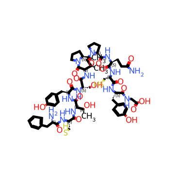 CC[C@H](C)[C@H](NC(=O)[C@H](CO)NC(=O)[C@H](Cc1ccc(O)cc1)NC(=O)[C@@H](NC(=O)[C@H](CS)NC(=O)[C@@H](N)Cc1ccccc1)[C@@H](C)O)C(=O)N1CCC[C@H]1C(=O)N1CCC[C@H]1C(=O)N[C@@H](CCC(N)=O)C(=O)N[C@@H](CS)C(=O)N[C@@H](Cc1ccc(O)cc1)C(=O)NCC(=O)O